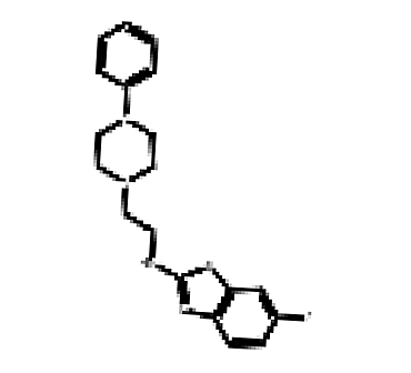 Fc1ccc2nc(NCCN3CCN(c4ccccc4)CC3)sc2c1